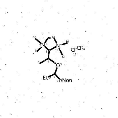 CCCCCCCCCC(CC)OC(C)C([N+](C)(C)C)[N+](C)(C)C.[Cl-].[Cl-]